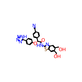 N#Cc1ccc(C(Oc2ccc(-c3nnn[nH]3)cc2)C(=O)Nc2nc3cc(CO)c(CO)cc3s2)cc1